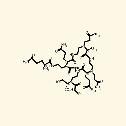 CCC(C)C(=O)N(CCNC(=O)[C@@H](N)CCC(N)=O)[C@@H](CCC(N)=O)C(=O)NCCN(CCC(N)=O)[C@@H](C)C(=O)NCCN(CCC(N)=O)[C@@H](CCC(N)=O)C(=O)NCCN(C(=O)CC(C)C)[C@@H](CO)C(=O)O